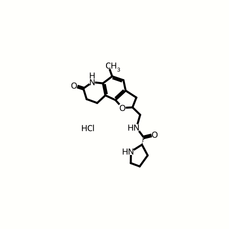 Cc1cc2c(c3c1NC(=O)CC3)OC(CNC(=O)[C@@H]1CCCN1)C2.Cl